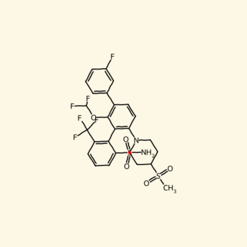 CS(=O)(=O)C1CCN(c2ccc(-c3cccc(F)c3)c(OC(F)F)c2-c2c(C(F)(F)F)cccc2S(N)(=O)=O)CC1